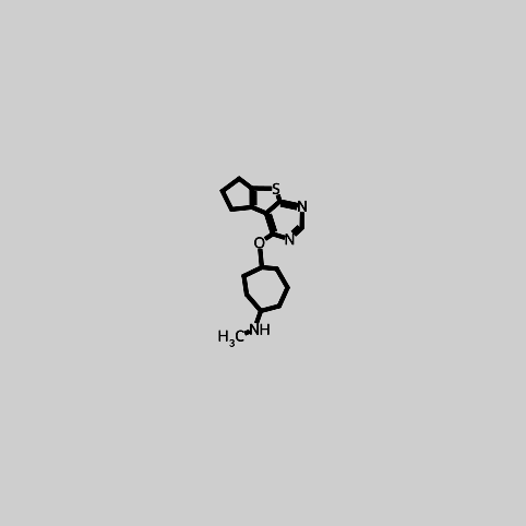 CNC1CCCC(Oc2ncnc3sc4c(c23)CCC4)CC1